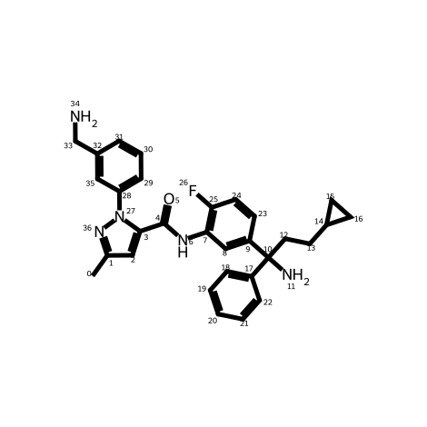 Cc1cc(C(=O)Nc2cc(C(N)(CCC3CC3)c3ccccc3)ccc2F)n(-c2cccc(CN)c2)n1